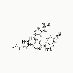 CCCc1cn(-c2cnc(-n3ncc4cc(C#N)cnc43)cc2Nc2cnn(CC(F)F)c2)nn1